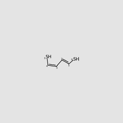 SC=C/C=C\S